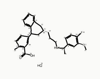 COc1cc([C@@H](C)NCCC[C@H]2Cc3ccccc3C(c3ccc(C)c(C(=O)O)c3)C2)ccc1F.Cl